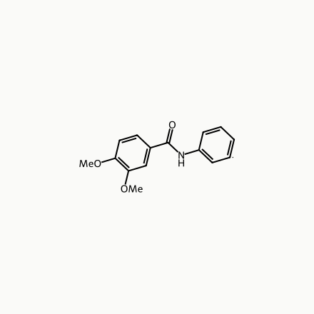 COc1ccc(C(=O)Nc2c[c]ccc2)cc1OC